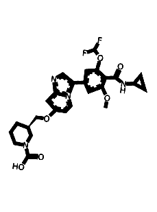 COc1cc(-c2cnc3cc(OC[C@@H]4CCCN(C(=O)O)C4)ccn23)cc(OC(F)F)c1C(=O)NC1CC1